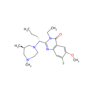 CCC[C@H](c1nc2cc(F)c(OC)cc2c(=O)n1CC)N1CCN(C)C[C@@H](C)C1